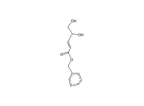 O=C(/C=C/C(O)CO)OCc1ccccc1